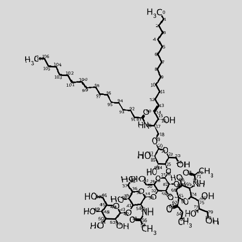 CCCCCCCCCCCCC/C=C/[C@H](O)[C@@H](COC1OC(CO)[C@@H](O[C@@H]2OC(CO)[C@H](O[C@@H]3OC(CO)[C@H](O)C(O[C@@H]4OC(CO)[C@H](O)C(O)[C@@H]4O)[C@@H]3NC(C)=O)C(O[C@]3(C(=O)CC)C[C@@H](O)[C@@H](NC(C)=O)C([C@H](O)[C@H](O)CO)O3)[C@@H]2O)[C@H](O)[C@@H]1O)NC(=O)CCCCCCCCCCCCCCCCC